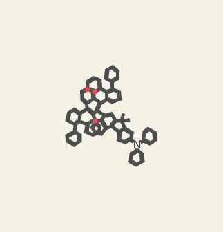 CC1(C)c2cc(N(c3ccccc3)c3ccccc3)ccc2-c2c1cc1c3c(cccc23)-c2c-1c(-c1cccc(-c3ccccc3)c1-c1ccccc1)c1ccccc1c2-c1cccc(-c2ccccc2)c1-c1ccccc1